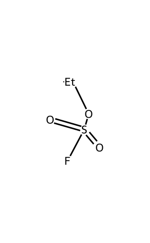 C[CH]OS(=O)(=O)F